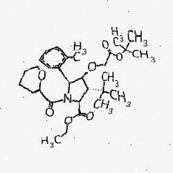 CCOC(=O)[C@@H]1[C@@H](C(C)(C)C)[C@H](OCC(=O)OC(C)(C)C)[C@H](c2ccccc2C)N1C(=O)C1CCCCO1